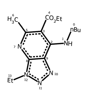 CCCCNc1c(C(=O)OCC)c(C)nc2c1nnn2CC